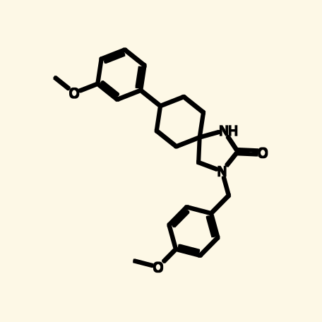 COc1ccc(CN2CC3(CCC(c4cccc(OC)c4)CC3)NC2=O)cc1